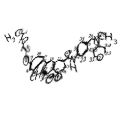 CCCOCCOc1ccc(-c2ccc3c(c2)C=C(C(=O)Nc2ccc(CN(C)C4CCOCC4)cc2)CCS3(=O)=O)c(C)c1